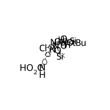 CC(C)(C)[Si](C)(C)O[C@@H]1CO[C@H]2[C@@H]1OC[C@H]2Oc1nc2cc(Cl)c(-c3ccc([C@H]4CC[C@H](NC(=O)O)CC4)cc3)nc2n1COCC[Si](C)(C)C